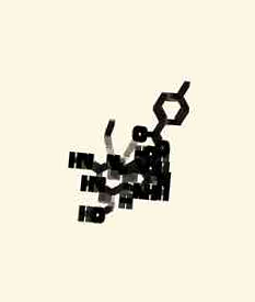 CC[C@H]1[C@H](OC(=O)c2ccc(C)cc2)C(O)(O)[C@]23NC(=N)N[C@H]2[C@H](CO)NC(=N)N13